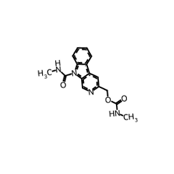 CNC(=O)OCc1cc2c3ccccc3n(C(=O)NC)c2cn1